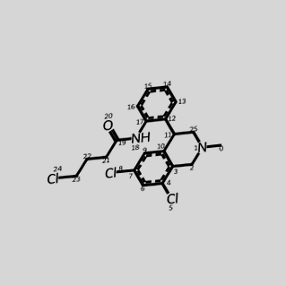 CN1Cc2c(Cl)cc(Cl)cc2C(c2ccccc2NC(=O)CCCCl)C1